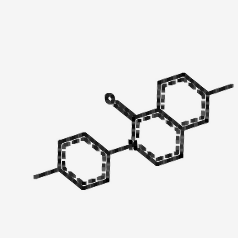 Cc1ccc(-n2ccc3cc(C)ccc3c2=O)cc1